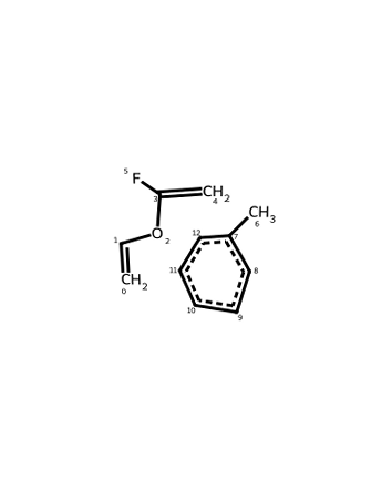 C=COC(=C)F.Cc1ccccc1